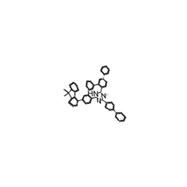 CN1C(c2ccc(-c3ccccc3)cc2)N=C(c2ccc(-c3cccc4c3-c3ccccc3C4(C)C)cc2)NC1c1ccc(-c2ccccc2)cc1-c1ccccc1